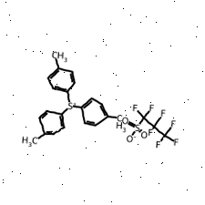 Cc1ccc([S+](c2ccc(C)cc2)c2ccc(C)cc2)cc1.O=S(=O)([O-])C(F)(F)C(F)(F)C(F)(F)F